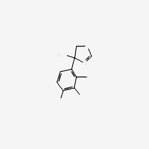 CC1(c2ccc(F)c(F)c2F)COC=N1